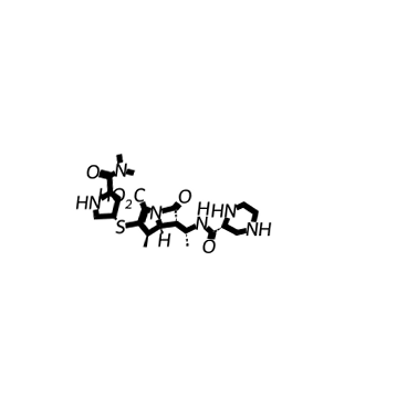 C[C@@H](NC(=O)[C@H]1CNCCN1)[C@H]1C(=O)N2C(C(=O)O)=C(S[C@@H]3CNC(C(=O)N(C)C)C3)[C@H](C)[C@H]12